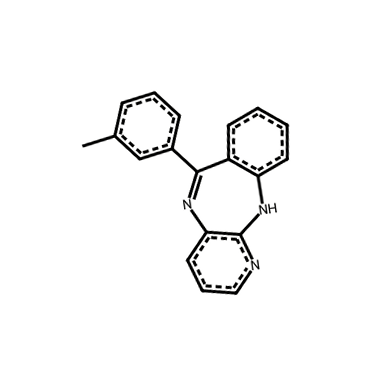 Cc1cccc(C2=Nc3cccnc3Nc3ccccc32)c1